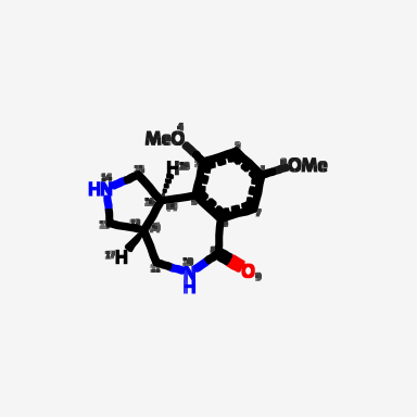 COc1cc(OC)c2c(c1)C(=O)NC[C@@H]1CNC[C@@H]21